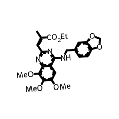 CCOC(=O)/C(C)=C\c1nc(NCc2ccc3c(c2)OCO3)c2cc(OC)c(OC)c(OC)c2n1